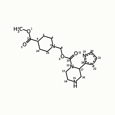 COC(=O)C1CCN(COC(=O)N2CCNCC2c2nccs2)CC1